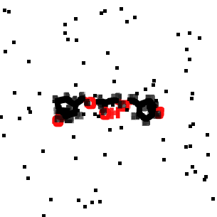 CC12CCC(COCC(O)COCC3CCC4(C)OC4C3)CC1O2